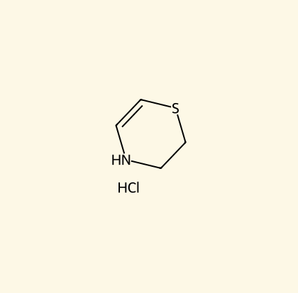 C1=CSCCN1.Cl